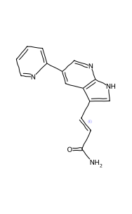 NC(=O)/C=C/c1c[nH]c2ncc(-c3ccccn3)cc12